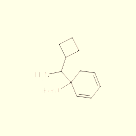 CCCC(C)C1(C(N)C2CCC2)C=CC=[C]C1